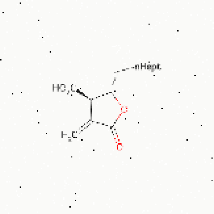 C=C1C(=O)O[C@@H](CCCCCCCC)[C@@H]1C(=O)O